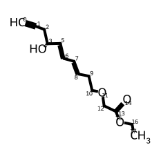 C#CC[C@@H](O)/C=C/C=C/CCOCC(=O)OCC